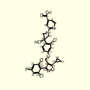 O=C(O)c1ccnc(N2CC(O)(c3ccc(OCc4c(-c5c(Cl)cc(F)cc5Cl)noc4C4CC4)cc3Cl)C2)c1